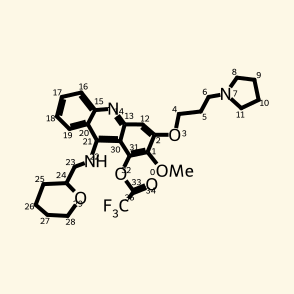 COc1c(OCCCN2CCCC2)cc2nc3ccccc3c(NCC3CCCCO3)c2c1OC(=O)C(F)(F)F